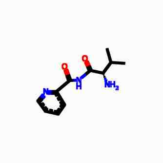 CC(C)[C@H](N)C(=O)NC(=O)c1ccccn1